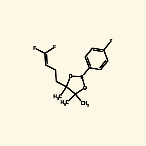 CC1(C)OB(c2ccc(F)cc2)OC1(C)CCC=C(F)F